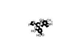 COc1cc(C)c2[nH]ccc2c1CN1CCC(n2cc(F)cn2)CC1c1ccccc1C(=O)O.O=CO